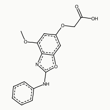 COc1cc(OCC(=O)O)cc2oc(Nc3ccccc3)nc12